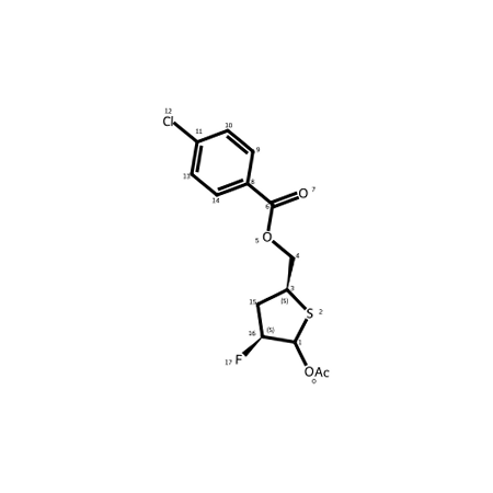 CC(=O)OC1S[C@H](COC(=O)c2ccc(Cl)cc2)C[C@@H]1F